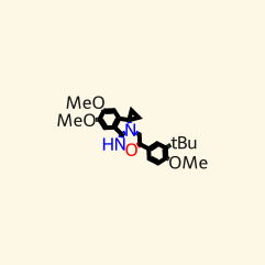 COc1cc2c(cc1OC)C1(CC1)N(CC(=O)c1ccc(OC)c(C(C)(C)C)c1)C2=N